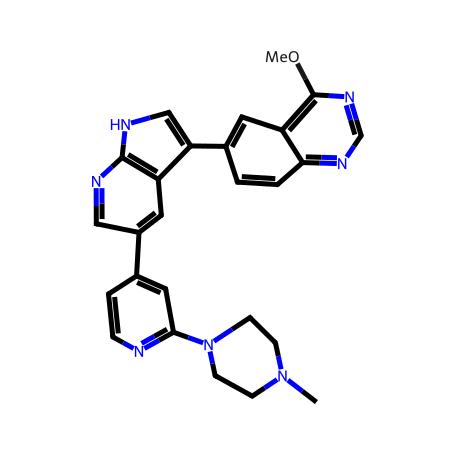 COc1ncnc2ccc(-c3c[nH]c4ncc(-c5ccnc(N6CCN(C)CC6)c5)cc34)cc12